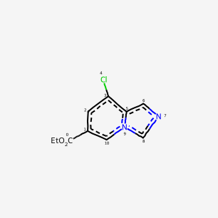 CCOC(=O)c1cc(Cl)c2cncn2c1